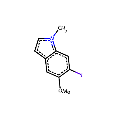 COc1cc2ccn(C)c2cc1I